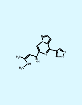 CN/C(N)=C\C(=N)c1cn2nccc2c(-c2cn[nH]c2)n1